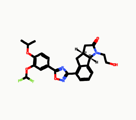 CC(C)Oc1ccc(-c2nc(-c3cccc4c3C[C@H]3CC(=O)N(CCO)[C@@H]43)no2)cc1OC(F)F